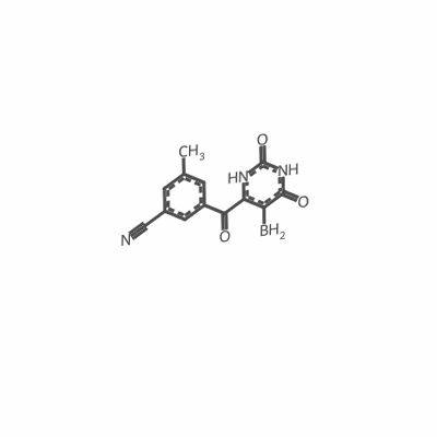 Bc1c(C(=O)c2cc(C)cc(C#N)c2)[nH]c(=O)[nH]c1=O